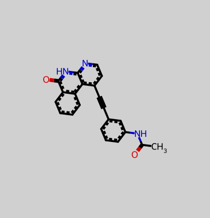 CC(=O)Nc1cccc(C#Cc2ccnc3[nH]c(=O)c4ccccc4c23)c1